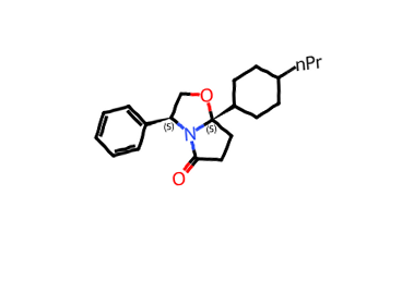 CCCC1CCC([C@@]23CCC(=O)N2[C@@H](c2ccccc2)CO3)CC1